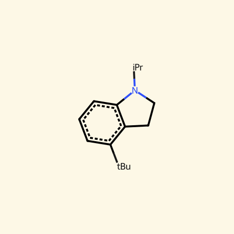 CC(C)N1CCc2c1cccc2C(C)(C)C